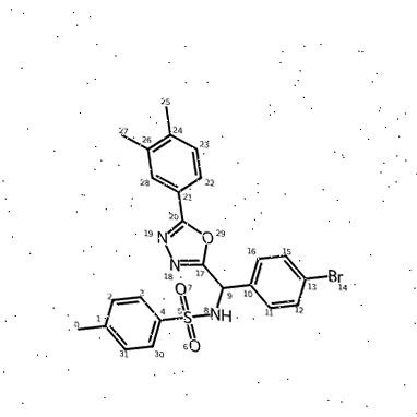 Cc1ccc(S(=O)(=O)NC(c2ccc(Br)cc2)c2nnc(-c3ccc(C)c(C)c3)o2)cc1